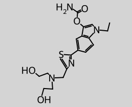 CCn1cc(OC(N)=O)c2cc(-c3nc(CN(CCO)CCO)cs3)ccc21